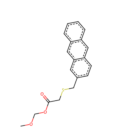 COCOC(=O)CSCc1ccc2cc3ccccc3cc2c1